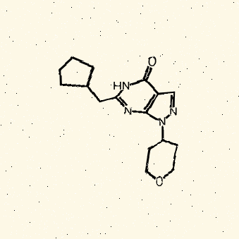 O=c1[nH]c(CC2CCCC2)nc2c1cnn2C1CCOCC1